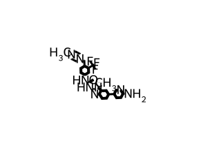 CN1CCN(Cc2ccc(NC(=O)Nc3nc4ccc(-c5ccc(N)nc5)cc4n3C)cc2C(F)(F)F)CC1